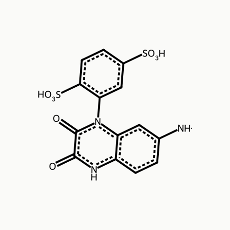 [NH]c1ccc2[nH]c(=O)c(=O)n(-c3cc(S(=O)(=O)O)ccc3S(=O)(=O)O)c2c1